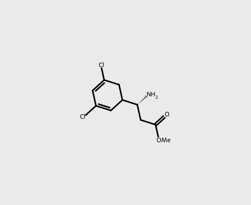 COC(=O)C[C@@H](N)C1C=C(Cl)C=C(Cl)C1